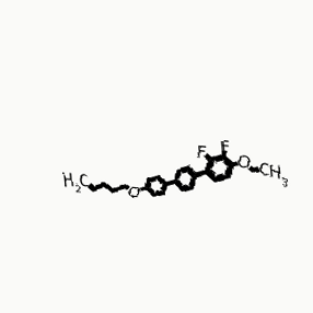 C=CCCCOc1ccc(-c2ccc(-c3ccc(OCC)c(F)c3F)cc2)cc1